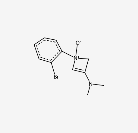 CN(C)C1=C[N+]([O-])(c2ccccc2Br)C1